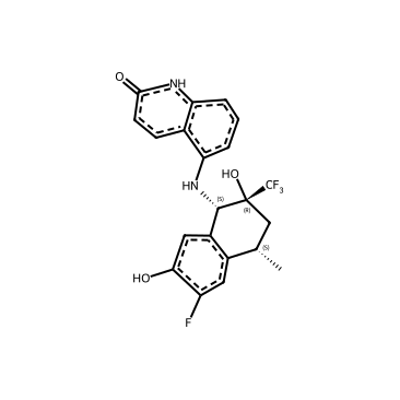 C[C@H]1C[C@](O)(C(F)(F)F)[C@@H](Nc2cccc3[nH]c(=O)ccc23)c2cc(O)c(F)cc21